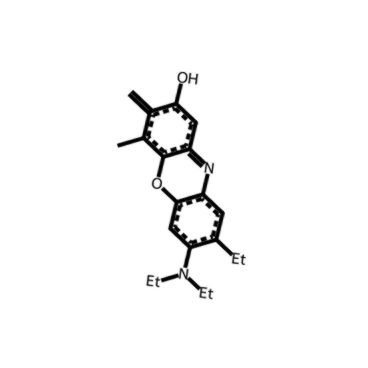 C=c1c(O)cc2c(c1C)Oc1cc(N(CC)CC)c(CC)cc1N=2